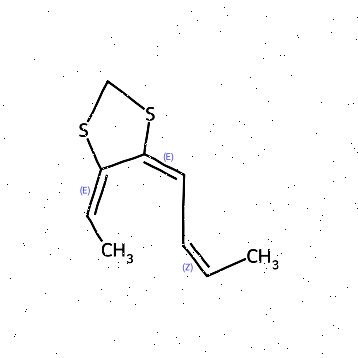 C\C=C/C=C1/SCS/C1=C/C